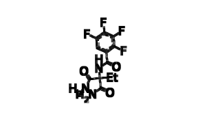 CCC(NC(=O)c1cc(F)c(F)c(F)c1F)(C(N)=O)C(N)=O